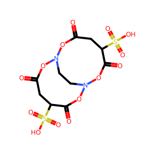 O=C1CC(S(=O)(=O)O)C(=O)ON2CCN(O1)OC(=O)CC(S(=O)(=O)O)C(=O)O2